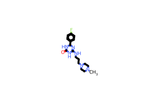 CN1CCN(CCCNC2=NC(c3ccc(F)cc3)NC(=O)N2)CC1